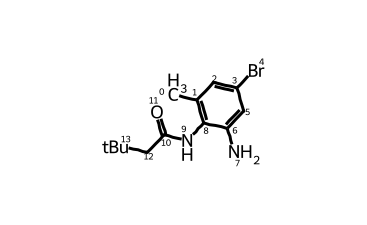 Cc1cc(Br)cc(N)c1NC(=O)CC(C)(C)C